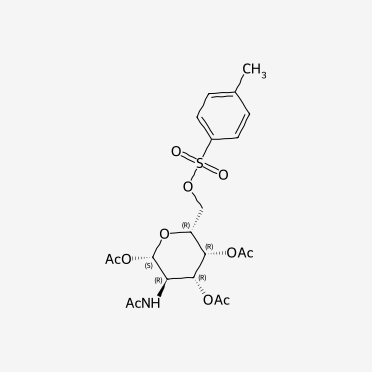 CC(=O)N[C@H]1[C@H](OC(C)=O)O[C@H](COS(=O)(=O)c2ccc(C)cc2)[C@H](OC(C)=O)[C@@H]1OC(C)=O